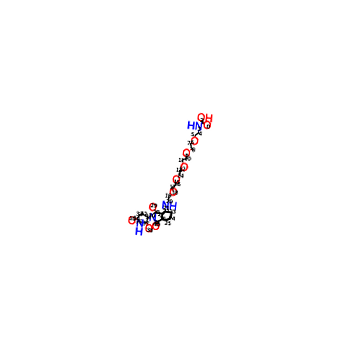 O=C(O)NCCOCCOCCOCCOCCOCCNc1cccc2c1C(=O)N(C1CCC(=O)NC1=O)C2=O